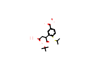 COC(=O)c1ccc(SC(C)C)c(C(CC(=O)O)C(=O)OC(C)(C)C)c1